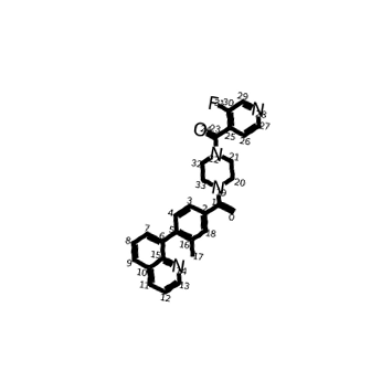 C=C(c1ccc(-c2cccc3cccnc23)c(C)c1)N1CCN(C(=O)c2ccncc2F)CC1